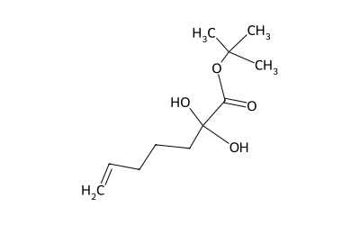 C=CCCCC(O)(O)C(=O)OC(C)(C)C